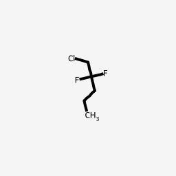 CCCC(F)(F)CCl